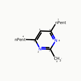 [CH2]c1nc(CCCCC)cc(CCCCC)n1